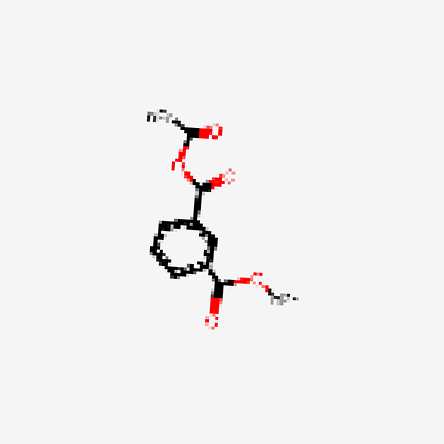 CCCOC(=O)c1cccc(C(=O)OC(=O)CCC)c1